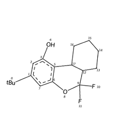 CC(C)(C)c1cc(O)c2c(c1)OC(F)(F)C1CCCCC21